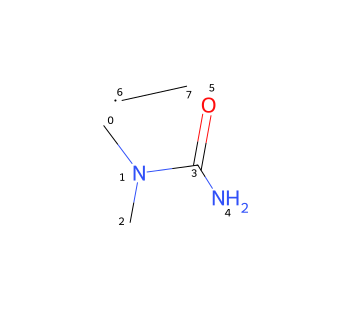 CN(C)C(N)=O.[CH2]C